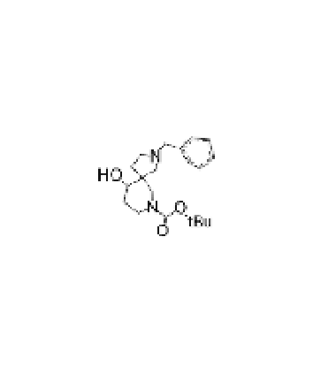 CC(C)(C)OC(=O)N1CCC(O)C2(CCN(Cc3ccccc3)C2)C1